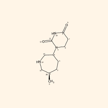 C[C@@H]1CCC(N2CCC(=O)NC2=O)CNC1